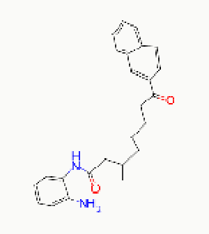 CC(CCCCC(=O)c1ccc2ccccc2c1)CC(=O)Nc1ccccc1N